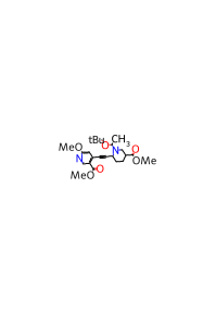 COC(=O)c1cnc(OC)cc1C#CC1CCC(C(=O)OC)CN1C(C)OC(C)(C)C